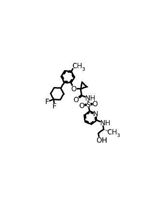 Cc1ccc(C2CCC(F)(F)CC2)c(OC2(C(=O)NS(=O)(=O)c3cccc(N[C@H](C)CO)n3)CC2)c1